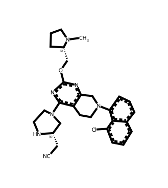 CN1CCC[C@H]1COc1nc2c(c(N3CCN[C@@H](CC#N)C3)n1)CCN(c1cccc3cccc(Cl)c13)C2